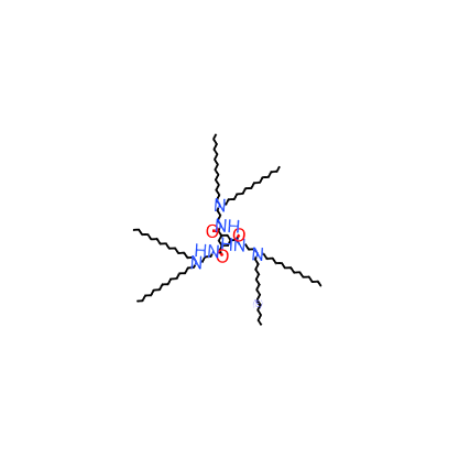 CCCC/C=C/CCCCCCCCN(CCCCCCCCCCCCCC)CCCNC(=O)C1CC(C(=O)NCCCN(CCCCCCCCCCCCCC)CCCCCCCCCCCCCC)CC(C(=O)NCCCN(CCCCCCCCCCCCCC)CCCCCCCCCCCCCC)C1